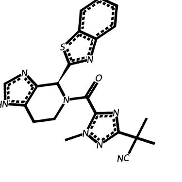 Cn1nc(C(C)(C)C#N)nc1C(=O)N1CCc2[nH]cnc2[C@H]1c1nc2ccccc2s1